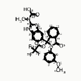 COc1cccc(N2C(=O)c3ccccc3C2(OC(=O)C(F)(F)F)c2ccc3[nH]c(N(C)C(=O)O)nc3c2)c1